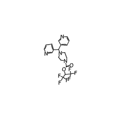 O=C(OC(C(F)(F)F)C(F)(F)F)N1CCN(C(c2cccnc2)c2cccnc2)CC1